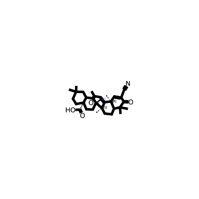 CC(=O)/C=C1/[C@@]2(C)C=C(C#N)C(=O)C(C)(C)C2CC[C@@]1(C)[C@]1(C)CC[C@@]2(C(=O)O)CCC(C)(C)CC2C1